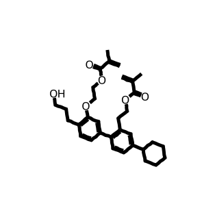 C=C(C)C(=O)OCCOc1cc(-c2ccc(C3CCCCC3)cc2CCOC(=O)C(=C)C)ccc1CCCO